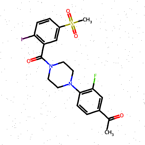 CC(=O)c1ccc(N2CCN(C(=O)c3cc(S(C)(=O)=O)ccc3I)CC2)c(F)c1